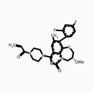 C=CC(=O)N1CCN(c2nc(=O)n3c4c(c(-c5ccc(F)cc5F)c(C)cc24)SC[C@H](OC)C3)CC1